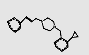 C(=Cc1ccccc1)CN1CCN(Cc2ccccc2C2CC2)CC1